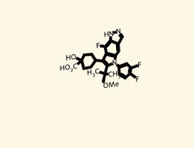 COCC(C)(C)c1c(C2CCC(O)(C(=O)O)CC2)c2c(F)c3[nH]ncc3cc2n1-c1ccc(F)c(F)c1